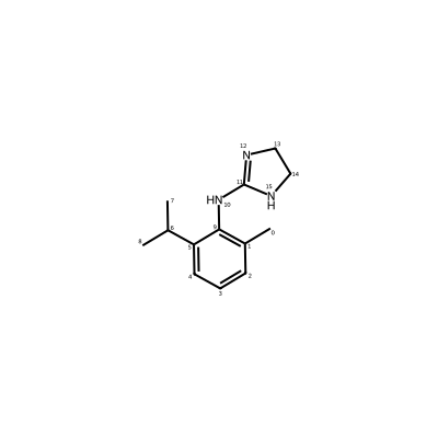 Cc1cccc(C(C)C)c1NC1=NCCN1